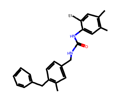 CCc1cc(C)c(C)cc1NC(=O)NCc1ccc(Cc2ccccc2)c(C)c1